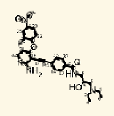 CCN(CC)CC(O)CNC(=O)c1ccc(C#Cc2c(Oc3ccc([N+](=O)[O-])cc3F)ccnc2N)cc1